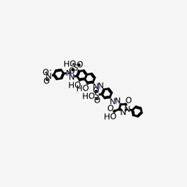 O=C(O)C1=NN(c2ccccc2)C(=O)C1/N=N/c1ccc(/N=N/c2ccc3cc(S(=O)(=O)O)c(/N=N/c4ccc([N+](=O)[O-])cc4)c(O)c3c2O)c(S(=O)(=O)O)c1